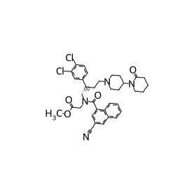 COC(=O)CN(C[C@@H](CCN1CCC(N2CCCCC2=O)CC1)c1ccc(Cl)c(Cl)c1)C(=O)c1cc(C#N)cc2ccccc12